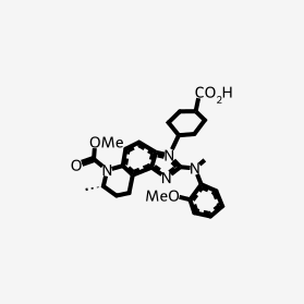 COC(=O)N1c2ccc3c(nc(N(C)c4ccccc4OC)n3C3CCC(C(=O)O)CC3)c2CC[C@@H]1C